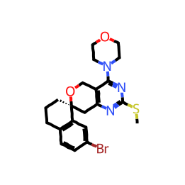 CSc1nc2c(c(N3CCOCC3)n1)CO[C@@]1(CCCc3ccc(Br)cc31)C2